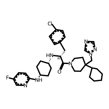 O=C([C@@H](Cc1ccc(Cl)cc1)N[C@H]1CC[C@@H](Nc2ccc(F)cn2)CC1)N1CCC(Cn2cncn2)(C2CCCCC2)CC1